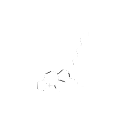 CCCCCCOc1cc2c(cc1OC)C(=O)N1CCCC1C=C2